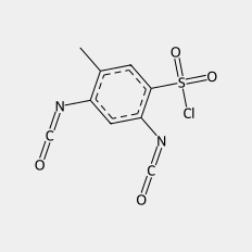 Cc1cc(S(=O)(=O)Cl)c(N=C=O)cc1N=C=O